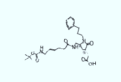 CC(C)(C)OC(=O)NCCCCCC(=O)NC[C@@H]1C[C@@H](CC(=O)O)C(=O)N1CCCc1ccccc1